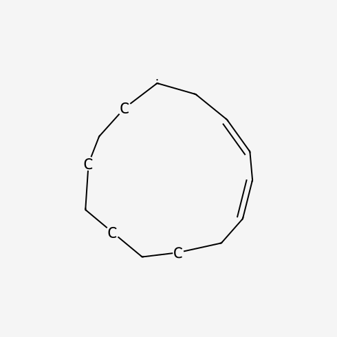 [CH]1CC=CC=CCCCCCCCC1